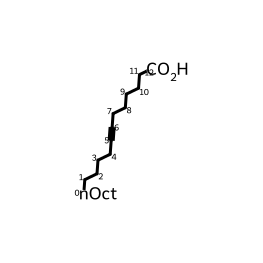 CCCCCCCCCCCCC#CCCCCCC(=O)O